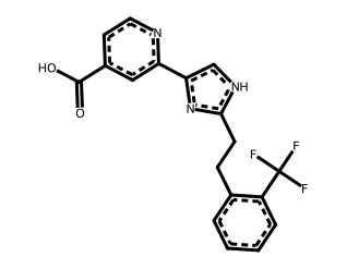 O=C(O)c1ccnc(-c2c[nH]c(CCc3ccccc3C(F)(F)F)n2)c1